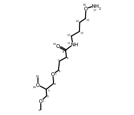 COCC(COCCCC(=O)NCCCCON)OC